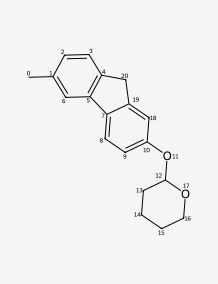 Cc1ccc2c(c1)-c1ccc(OC3CCCCO3)cc1C2